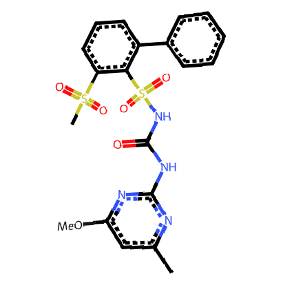 COc1cc(C)nc(NC(=O)NS(=O)(=O)c2c(-c3ccccc3)cccc2S(C)(=O)=O)n1